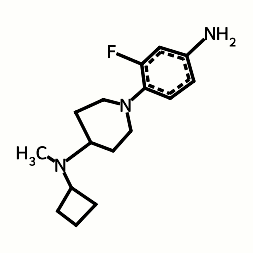 CN(C1CCC1)C1CCN(c2ccc(N)cc2F)CC1